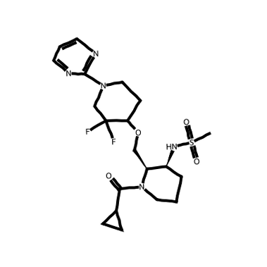 CS(=O)(=O)N[C@H]1CCCN(C(=O)C2CC2)[C@H]1COC1CCN(c2ncccn2)CC1(F)F